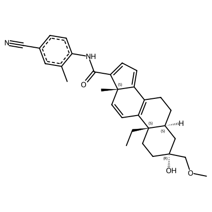 CC[C@]12CC[C@](O)(COC)C[C@@H]1CCC1=C2C=C[C@]2(C)C(C(=O)Nc3ccc(C#N)cc3C)=CC=C12